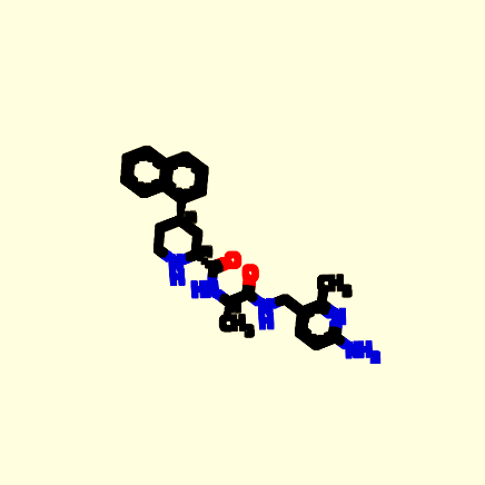 Cc1nc(N)ccc1CNC(=O)[C@H](C)NC(=O)[C@H]1C[C@H](c2cccc3ccccc23)CCN1